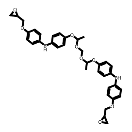 CC(OCOC(C)Oc1ccc(Bc2ccc(OCC3CO3)cc2)cc1)Oc1ccc(Bc2ccc(OCC3CO3)cc2)cc1